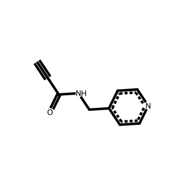 C#CC(=O)NCc1ccncc1